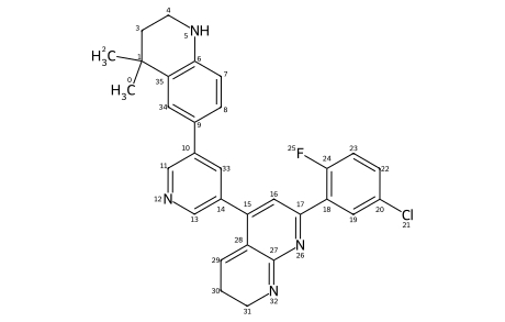 CC1(C)CCNc2ccc(-c3cncc(-c4cc(-c5cc(Cl)ccc5F)nc5c4=CCCN=5)c3)cc21